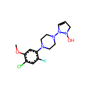 COc1cc(N2CCN(N3C=CCN3O)CC2)c(F)cc1Cl